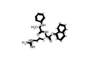 C[C@H](Nc1ccccc1)C(=O)N[C@@H](CCCNC(=N)N)C(=O)Oc1cccc2ccccc12